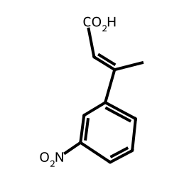 CC(=CC(=O)O)c1cccc([N+](=O)[O-])c1